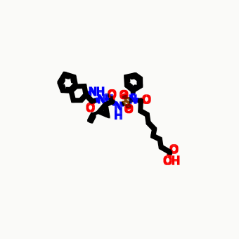 C=C[C@@H]1C[C@]1(NC(=O)C1(N)CCc2ccccc2C1)C(=O)NS(=O)(=O)N(C(=O)CCCCCCCC(=O)O)c1ccccc1